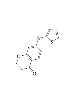 O=C1CCOc2cc(Sc3cccs3)ccc21